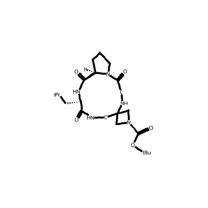 CC(C)C[C@@H]1NC(=O)[C@H]2CCCN2C(=O)CNC2(CNC1=O)CN(C(=O)OC(C)(C)C)C2